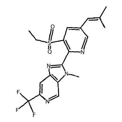 CCS(=O)(=O)c1cc(C=C(C)C)cnc1-c1nc2cc(C(F)(F)F)ncc2n1C